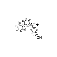 CC(C)(O)c1ccc2c(c1)ncn2-c1cccc(-c2c(F)cccc2F)c1